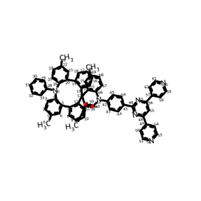 Cc1ccc2c(c1)-c1ccccc1C1(c3ccccc3-c3cc(C)ccc3N2c2ccccc2)c2cc(C)ccc2N(c2ccc(-c3nc(-c4ccncc4)cc(-c4ccncc4)n3)cc2)c2ccc(C)cc21